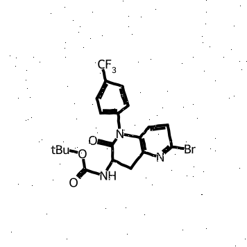 CC(C)(C)OC(=O)NC1Cc2nc(Br)ccc2N(c2ccc(C(F)(F)F)cc2)C1=O